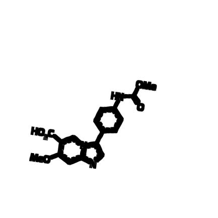 COC(=O)Nc1ccc(-c2cnc3cc(OC)c(C(=O)O)cn23)cc1